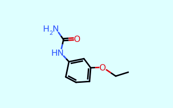 CCOc1cccc(NC(N)=O)c1